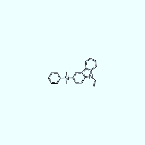 C=Cn1c2ccccc2c2cc([Si](C)(C)c3ccccc3)ccc21